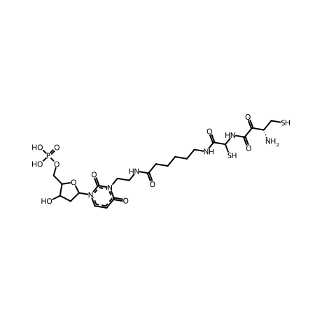 N[C@@H](CS)C(=O)C(=O)NC(S)C(=O)NCCCCCC(=O)NCCn1c(=O)ccn(C2CC(O)C(COP(=O)(O)O)O2)c1=O